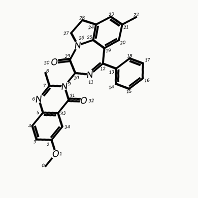 COc1ccc2nc(C)n(C3N=C(c4ccccc4)c4cc(C)cc5c4N(CC5)C3=O)c(=O)c2c1